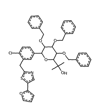 CC(C)(O)C1OC(c2ccc(Cl)c(Cc3ncc(-c4ccco4)s3)c2)C(OCc2ccccc2)C(OCc2ccccc2)C1OCc1ccccc1